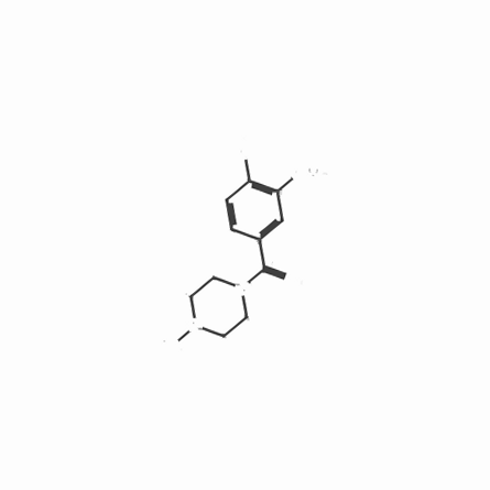 COc1cc(C(=O)N2CCN(C(C)=O)CC2)ccc1C